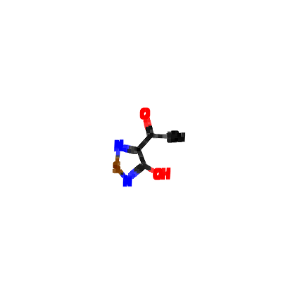 CC(C)(C)C(=O)c1nsnc1O